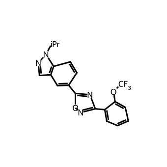 CC(C)n1ncc2cc(-c3nc(-c4ccccc4OC(F)(F)F)no3)ccc21